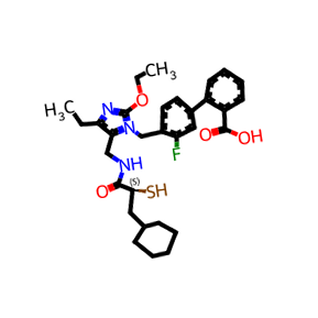 CCOc1nc(CC)c(CNC(=O)[C@@H](S)CC2CCCCC2)n1Cc1ccc(-c2ccccc2C(=O)O)cc1F